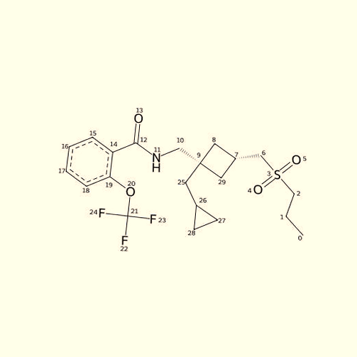 CCCS(=O)(=O)C[C@H]1C[C@](CNC(=O)c2ccccc2OC(F)(F)F)(CC2CC2)C1